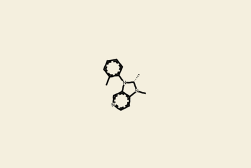 Cc1ccccc1N1c2cnccc2N(C)[C@H]1C